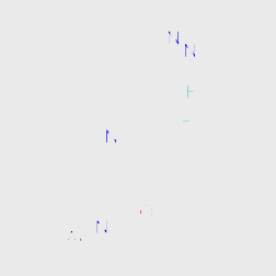 CC(=O)N1CCOc2ccc(N3CCCc4cc(-c5cnn(C)c5)c(C(F)F)cc43)cc2C1